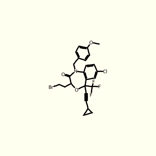 COc1ccc(CN2C(=O)C(CCBr)OC(C#CC3CC3)(C(F)(F)F)c3cc(Cl)ccc32)cc1